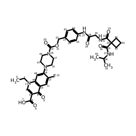 CCn1cc(C(=O)O)c(=O)c2cc(F)c(N3CCN(C(=O)OCc4ccc(NC(=O)CNC(=O)C5(C(=O)NC(C)C)CCC5)cc4)CC3)cc21